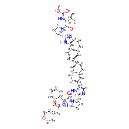 COC(=O)N[C@H](C(=O)N1CCC[C@H]1c1nc2c([nH]1)-c1ccc(-c3ccc4cc(-c5cnc([C@@H]6CCCN6C(=O)[C@H](NC(=O)CC6CCOCC6)c6ccccc6)[nH]5)ccc4c3)cc1CC2)C(C)C